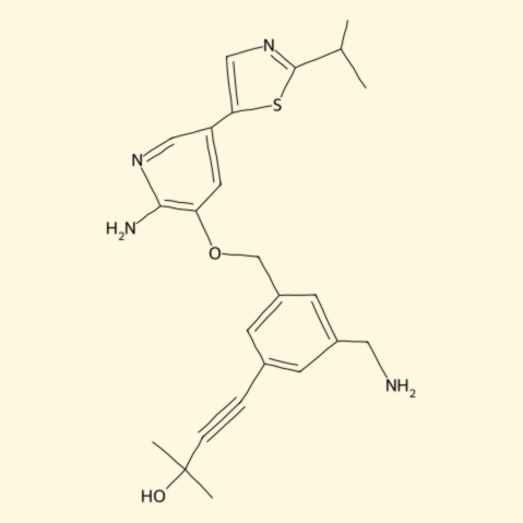 CC(C)c1ncc(-c2cnc(N)c(OCc3cc(C#CC(C)(C)O)cc(CN)c3)c2)s1